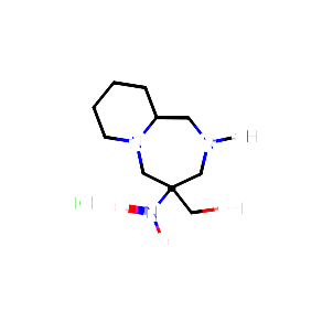 CN1CC2CCCCN2CC(CO)([N+](=O)[O-])C1.Cl